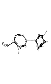 CCc1ccc(-c2ccc[nH]2)cn1